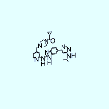 CC(C)Nc1cc(-c2ccc3nc(Nc4cc(CN5CCN(C(=O)C6CC6)CC5)ccn4)[nH]c3c2)ncn1